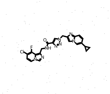 O=C(NCc1ncn2ccc(Cl)c(F)c12)c1cn(Cc2cn3cc(C4CC4)ccc3n2)nn1